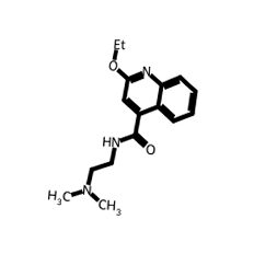 CCOc1cc(C(=O)NCCN(C)C)c2ccccc2n1